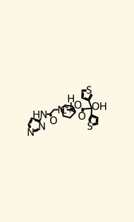 O=C(C[N+]12CCC(CC1)[C@@H](OC(=O)C(O)(c1ccsc1)c1ccsc1)C2)Nc1ccncn1